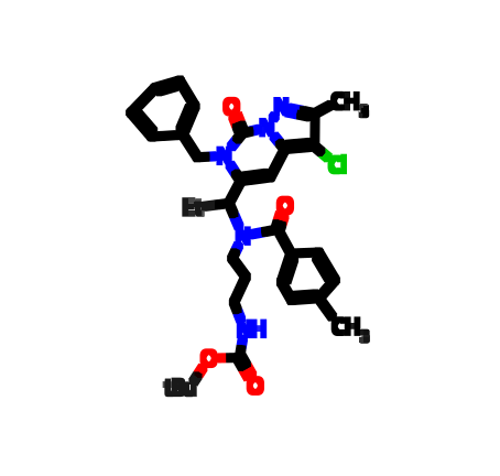 CCC(c1cc2c(Cl)c(C)nn2c(=O)n1Cc1ccccc1)N(CCCNC(=O)OC(C)(C)C)C(=O)c1ccc(C)cc1